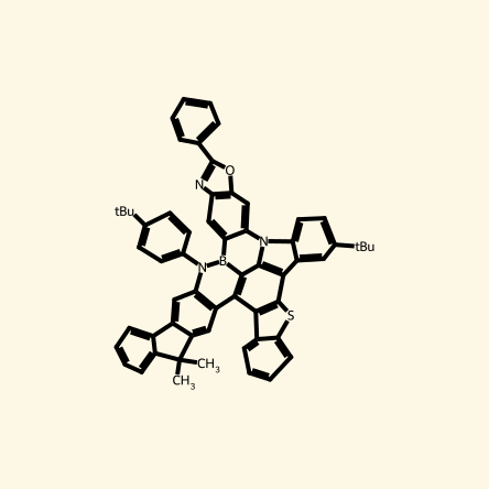 CC(C)(C)c1ccc(N2B3c4cc5nc(-c6ccccc6)oc5cc4-n4c5ccc(C(C)(C)C)cc5c5c6sc7ccccc7c6c(c3c54)-c3cc4c(cc32)-c2ccccc2C4(C)C)cc1